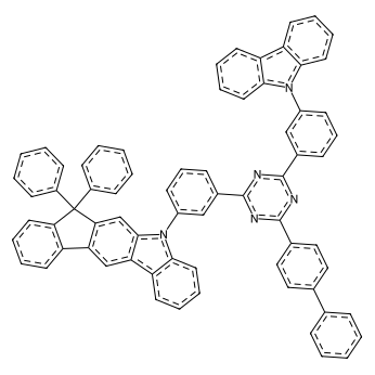 c1ccc(-c2ccc(-c3nc(-c4cccc(-n5c6ccccc6c6ccccc65)c4)nc(-c4cccc(-n5c6ccccc6c6cc7c(cc65)C(c5ccccc5)(c5ccccc5)c5ccccc5-7)c4)n3)cc2)cc1